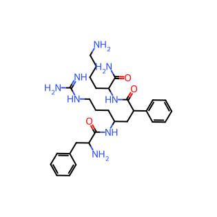 N=C(N)NCCCC(CC(C(=O)NC(CCCCN)C(N)=O)c1ccccc1)NC(=O)C(N)Cc1ccccc1